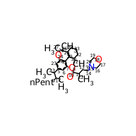 CCCCCC(C)C(C)c1cc(OC(=O)C(C)CCN2CCOCC2)c2c(c1)OC(C)(C)C1=C2C(C)CCC1